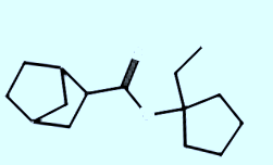 CCC1(OC(=O)C2CC3[CH]CC2C3)CCCC1